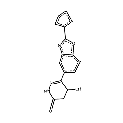 CC1CC(=O)NN=C1c1ccc2oc(-c3cccs3)nc2c1